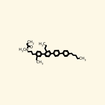 C=CC(=O)N(C)CCCc1ccc(-c2ccc(-c3ccc(-c4ccc(CCCCC)cc4)cc3)cc2CCC)cc1CC